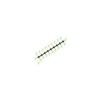 FSC(F)(F)C(F)(F)C(F)(F)C(F)(F)C(F)(F)C(F)(F)C(F)(F)C(F)(F)C(F)(F)F